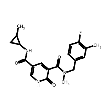 Cc1cc(CN(C)C(=O)c2cc(C(=O)NC3CC3C)c[nH]c2=O)ccc1F